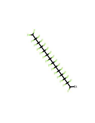 CCC(F)C(F)(F)C(F)(F)C(F)(F)C(F)(F)C(F)(F)C(F)(F)C(F)(F)C(F)(F)C(F)(F)C(F)(F)C(F)(F)C(F)(F)[C](F)F